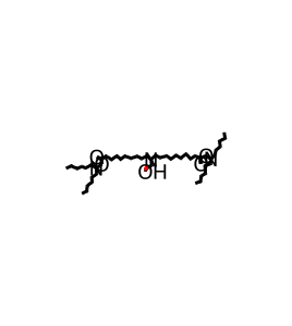 CCCCCCN(CCCCCC)OC(=O)CCCCCCCCCN(CCO)CCCCCCCCCC(=O)ON(CCCCCC)CCCCCC